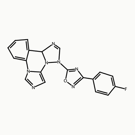 Fc1ccc(-c2noc(N3C=NC4c5ccccc5-n5cncc5N43)n2)cc1